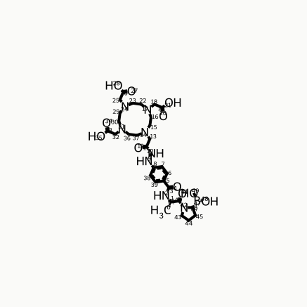 C[C@@H](NC(=O)c1ccc(NNC(=O)CN2CCN(CC(=O)O)CCN(CC(=O)O)CCN(CC(=O)O)CC2)cc1)C(=O)N1CCC[C@H]1B(O)O